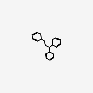 C1=CCC(CCC(C2C=CC=CC2)C2C=CC=CC2)C=C1